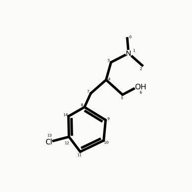 CN(C)CC(CO)Cc1cccc(Cl)c1